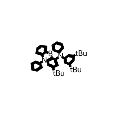 CC(C)(C)c1cc(N2c3ccccc3B3c4ccccc4N(c4ccccc4)c4cc(C(C)(C)C)cc2c43)cc(C(C)(C)C)c1